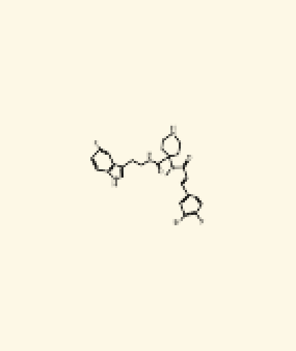 CN(C(=O)/C=C/c1ccc(F)c(Br)c1)C1(C(=O)NCCc2c[nH]c3ccc(F)cc23)CCNCC1